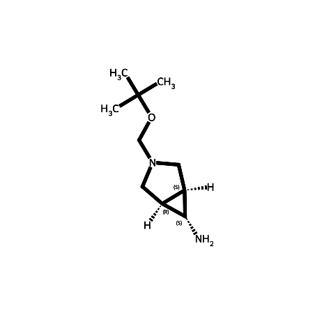 CC(C)(C)OCN1C[C@@H]2[C@@H](N)[C@@H]2C1